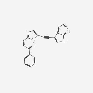 C(#Cc1cnc2ccc(-c3cc[c]cc3)nn12)c1c[nH]c2ncccc12